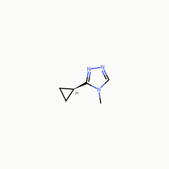 Cn1cnnc1[C@H]1[CH]C1